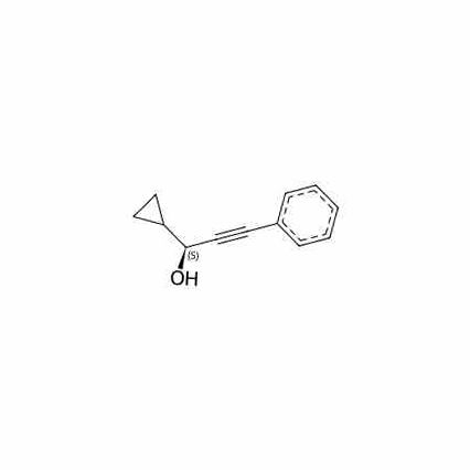 O[C@H](C#Cc1ccccc1)C1CC1